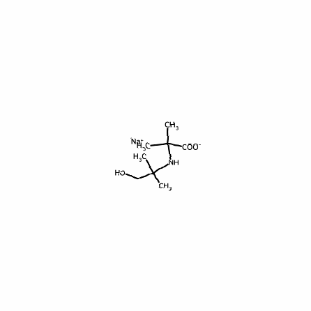 CC(C)(CO)NC(C)(C)C(=O)[O-].[Na+]